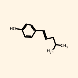 CC(C)CC=Cc1ccc(O)cc1